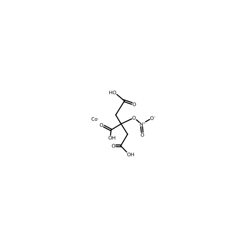 O=C(O)CC(CC(=O)O)(O[N+](=O)[O-])C(=O)O.[Co]